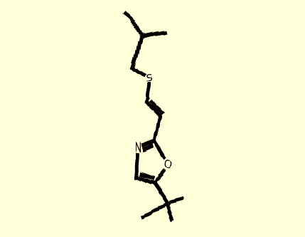 CC(C)CS/C=C/c1ncc(C(C)(C)C)o1